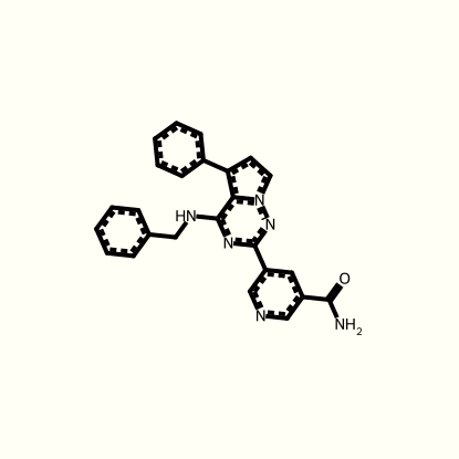 NC(=O)c1cncc(-c2nc(NCc3ccccc3)c3c(-c4ccccc4)ccn3n2)c1